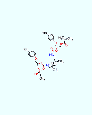 C=CC(=O)OCC(COc1ccc(C(C)(C)C)cc1)OC(=O)NCC(C)(C)CC(C)CCNC(=O)OC(COC(=O)C(=C)C)COc1ccc(C(C)(C)C)cc1